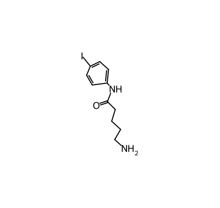 NCCCCC(=O)Nc1ccc(I)cc1